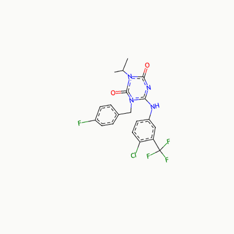 CC(C)n1c(=O)nc(Nc2ccc(Cl)c(C(F)(F)F)c2)n(Cc2ccc(F)cc2)c1=O